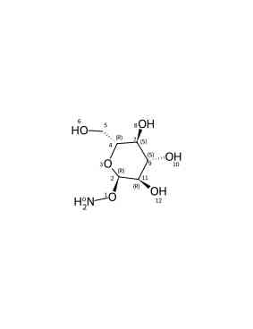 NO[C@H]1O[C@H](CO)[C@@H](O)[C@H](O)[C@H]1O